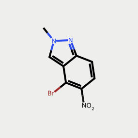 Cn1cc2c(Br)c([N+](=O)[O-])ccc2n1